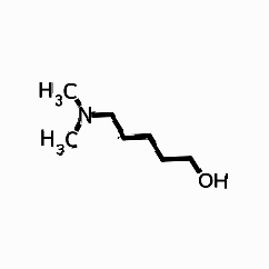 CN(C)C[CH]CCCO